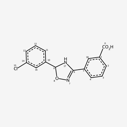 O=C(O)c1cccc(C2=NOC(c3cccc(Cl)c3)N2)c1